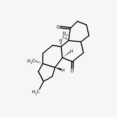 CC1C[C@H]2[C@@H]3C(=O)CC4CCCC(=O)[C@]4(C)[C@@H]3CC[C@]2(C)C1